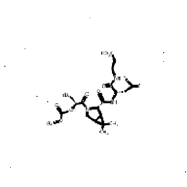 CC(C)(C)OC(=O)N[C@H](C(=O)N1CC2C([C@H]1C(=O)N[C@@H](CC(F)F)C(=O)NCCC(=O)O)C2(C)C)C(C)(C)C